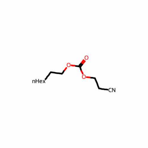 CCCCCCCCOC(=O)OCCC#N